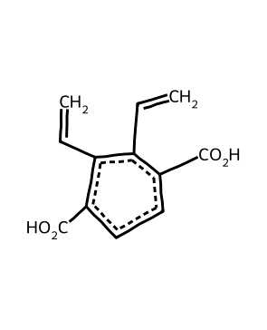 C=Cc1c(C(=O)O)ccc(C(=O)O)c1C=C